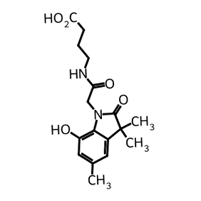 Cc1cc(O)c2c(c1)C(C)(C)C(=O)N2CC(=O)NCCCC(=O)O